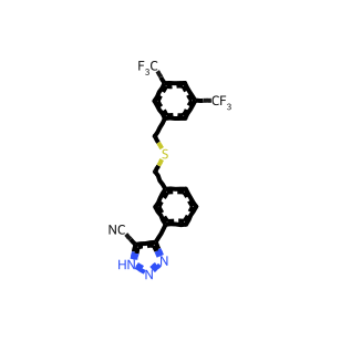 N#Cc1[nH]nnc1-c1cccc(CSCc2cc(C(F)(F)F)cc(C(F)(F)F)c2)c1